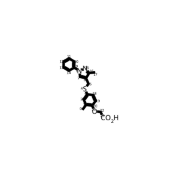 Cc1cc(SCc2cn(-c3ccccc3)nc2C)ccc1OCC(=O)O